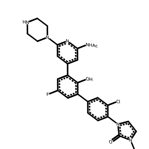 CC(=O)Nc1cc(-c2cc(F)cc(-c3ccc(-n4ccn(C)c4=O)c(Cl)c3)c2O)cc(N2CCNCC2)n1